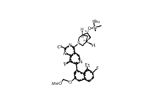 CCc1c(F)ccc2cc(OCOC)cc(-c3ncc4c(N5C[C@@H]6C[C@H](C5)[C@H](O[Si](C)(C)C(C)(C)C)C6)nc(Cl)nc4c3F)c12